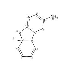 CC12C=CC=CC1C1CC(N)=CC=C1S2